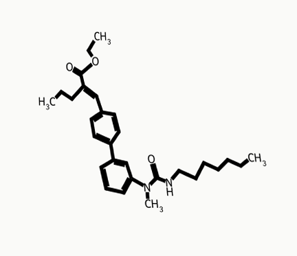 CCCCCCCNC(=O)N(C)c1cccc(-c2ccc(/C=C(\CCC)C(=O)OCC)cc2)c1